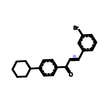 O=C(/C=C/c1cccc(Br)c1)c1ccc(C2CCCCC2)cc1